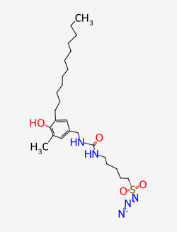 CCCCCCCCCCCCc1cc(CNC(=O)NCCCCCS(=O)(=O)N=[N+]=[N-])cc(C)c1O